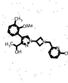 COc1c(C)cccc1-c1cn(C2CN(Cc3cccc(C#N)n3)C2)nc1C(C)O